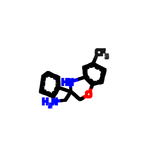 NCC1(c2ccccc2)COc2ccc(C(F)(F)F)cc2N1